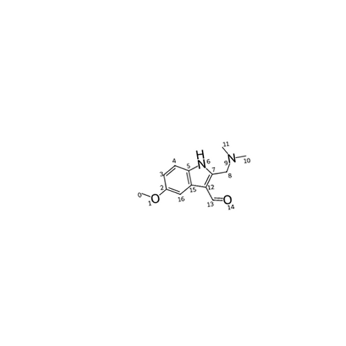 COc1ccc2[nH]c(CN(C)C)c(C=O)c2c1